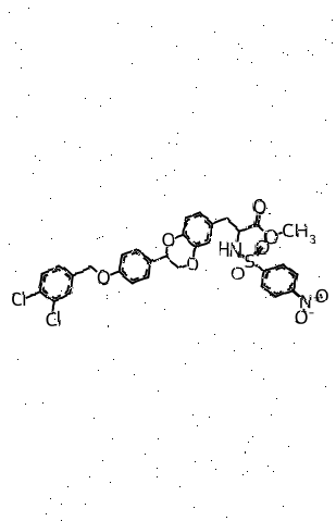 COC(=O)C(Cc1ccc2c(c1)OCC(c1ccc(OCc3ccc(Cl)c(Cl)c3)cc1)O2)NS(=O)(=O)c1ccc([N+](=O)[O-])cc1